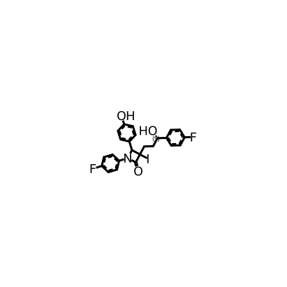 O=C1N(c2ccc(F)cc2)C(c2ccc(O)cc2)C1(I)CC[C@H](O)c1ccc(F)cc1